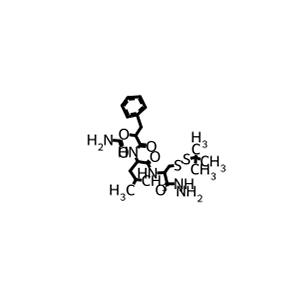 CC(C)CC(NC(=O)C(Cc1ccccc1)OC(N)=O)C(=O)NC(CSSC(C)(C)C)C(=O)NN